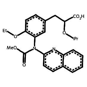 CCOc1ccc(CC(OC(C)C)C(=O)O)cc1N(C(=O)OC)c1ccc2ccccc2n1